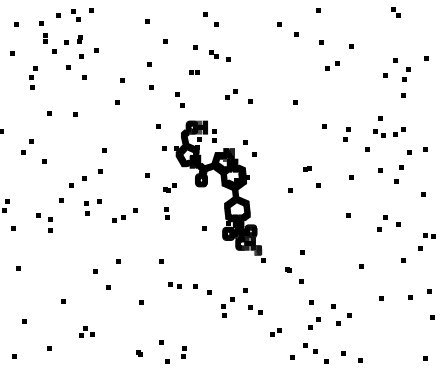 CS(=O)(=O)N1CCC(c2ccn3ncc(C(=O)N4CCC(CO)C4)c3c2)CC1